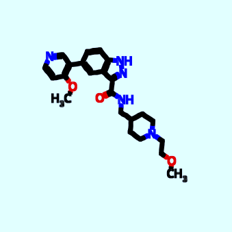 COCCN1CCC(CNC(=O)c2n[nH]c3ccc(-c4cnccc4OC)cc23)CC1